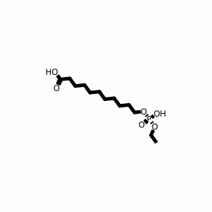 CCOP(=O)(O)OCCCCCCCCCCC(=O)O